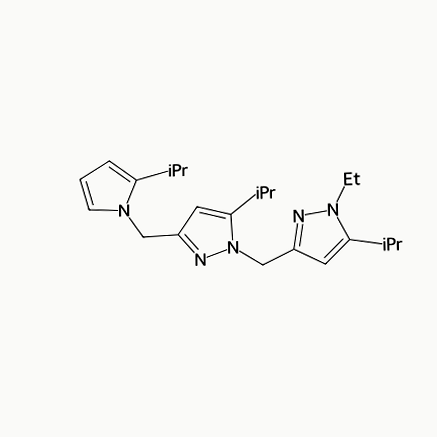 CCn1nc(Cn2nc(Cn3cccc3C(C)C)cc2C(C)C)cc1C(C)C